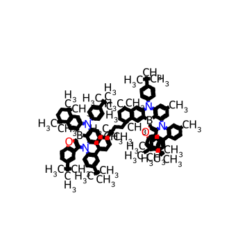 Cc1ccc(-c2ccc(C(C)(C)C)cc2)c(N2c3cc(C)cc4c3B(c3cc5c(cc3N4c3ccc(C(C)(C)C)cc3)C(C)(C)CCC5(C)CCC(C)(C)c3ccc(-c4cc(C(C)(C)C)ccc4N4c5cc(C)cc6c5B(c5cc7c(cc5N6c5ccc(C(C)(C)C)cc5)C(C)(C)CCC7(C)C)c5oc6ccc(C(C)(C)C)cc6c54)cc3)c3oc4ccc(C(C)(C)C)cc4c32)c1